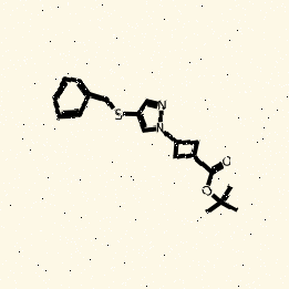 CC(C)(C)OC(=O)C1CC(n2cc(SCc3ccccc3)cn2)C1